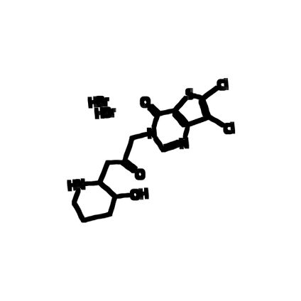 Br.Br.O=C(CC1NCCCC1O)Cn1cnc2c(Cl)c(Cl)sc2c1=O